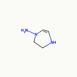 NN1C=CNCC1